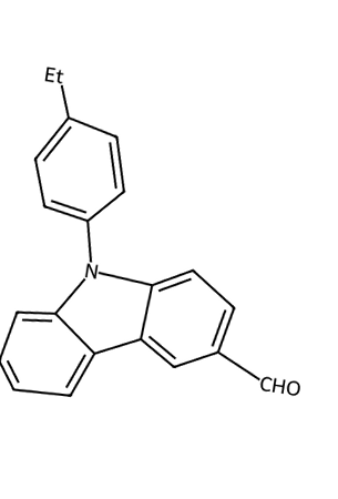 CCc1ccc(-n2c3ccccc3c3cc(C=O)ccc32)cc1